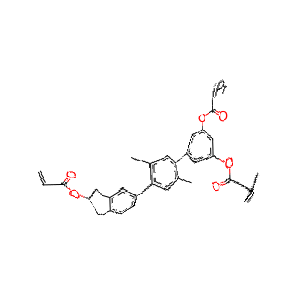 C=CC(=O)OC1Cc2ccc(-c3cc(C)c(-c4cc(OC(=O)C(=C)C)cc(OC(=O)C(C)C)c4)cc3C)cc2C1